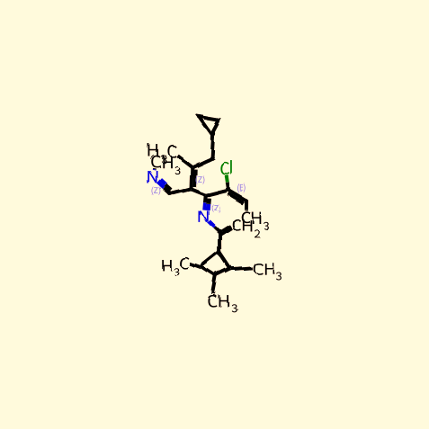 C=C(/N=C(C(/C=N\C)=C(/C)CC1CC1)\C(Cl)=C/C)C1C(C)C(C)C1C